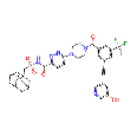 O=C(NS(=O)(=O)CC12CC3CC(CC(C3)C1)C2)c1ccc(N2CCN(C(=O)c3cc(C#Cc4cncc(O)c4)cc(C(F)(F)F)c3)CC2)nn1